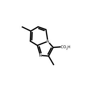 Cc1ccn2c(C(=O)O)c(C)nc2c1